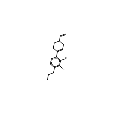 C=CC1CC=C(c2ccc(CCC)c(F)c2F)CC1